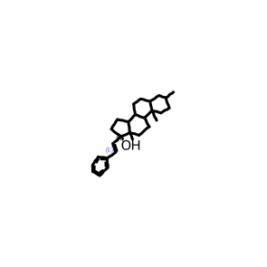 CC1CCC2(C)C(CCC3C2CCC2(C)C3CC[C@@]2(O)/C=C/c2ccccc2)C1